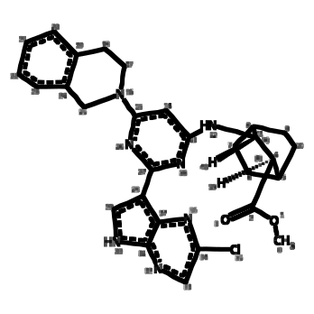 COC(=O)[C@@H]1C2CCC(CC2)[C@H]1Nc1cc(N2CCc3ccccc3C2)nc(-c2c[nH]c3ncc(Cl)nc23)n1